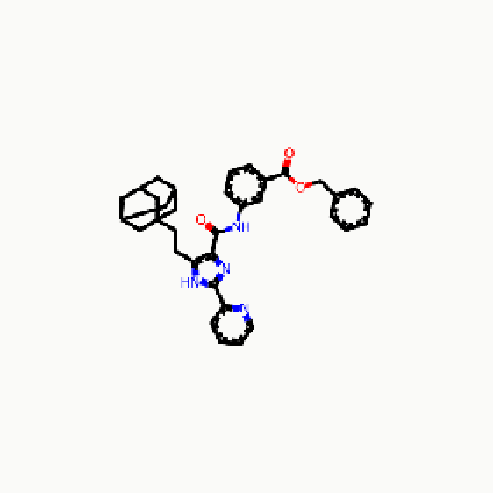 O=C(OCc1ccccc1)c1cccc(NC(=O)c2nc(-c3ccccn3)[nH]c2CCC23CC4CC(CC(C4)C2)C3)c1